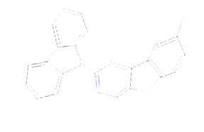 Cc1ccc2sc3cnc(-n4c5ccccc5c5ccccc54)nc3c2c1